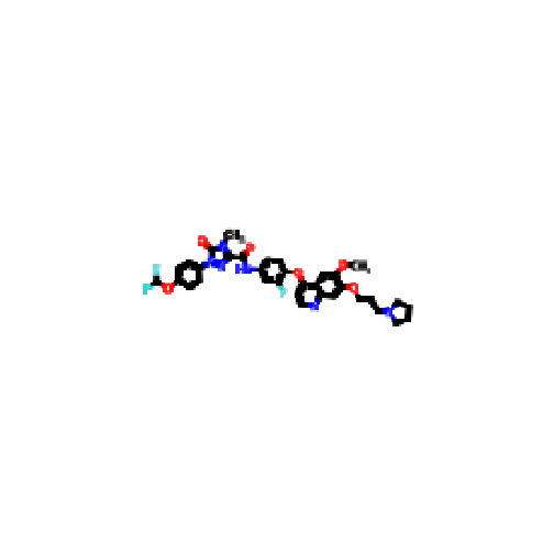 COc1cc2c(Oc3ccc(NC(=O)c4nn(-c5ccc(OC(F)F)cc5)c(=O)n4C)cc3F)ccnc2cc1OCCCN1CCCC1